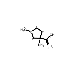 C=C(O)[C@@]1(N)CCN(C)C1